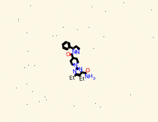 CCc1nc(N2CCC(C(=O)N3N=CCC3c3ccccc3)CC2)nc(C(N)=O)c1CC